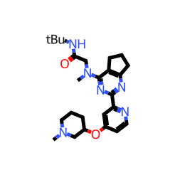 CN1CCCC(Oc2ccnc(-c3nc4c(c(N(C)CC(=O)NC(C)(C)C)n3)CCC4)c2)C1